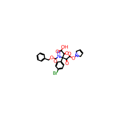 O=C(NC(C(=O)C(=O)O)(C(=O)C(=O)ON1CC=CC1)c1ccc(Br)cc1)OCc1ccccc1